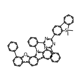 C[Si]1(C)c2ccccc2-c2ccc(-c3nc(-c4ccccc4)nc(-c4ccccc4-n4c5ccccc5c5ccc6c7cccc(-c8ccccc8)c7oc6c54)n3)cc21